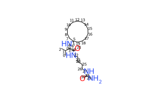 CC(C)[C@H](NC1(C)CCCCCCCCCCCCC1)C(=O)NCCCCNC(N)=O